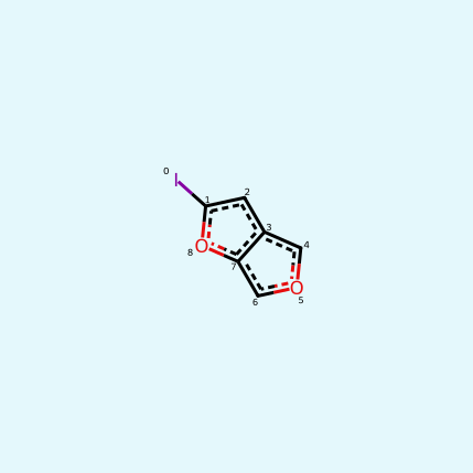 Ic1cc2cocc2o1